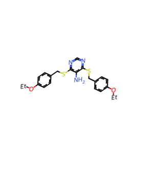 CCOc1ccc(CSc2ncnc(SCc3ccc(OCC)cc3)c2N)cc1